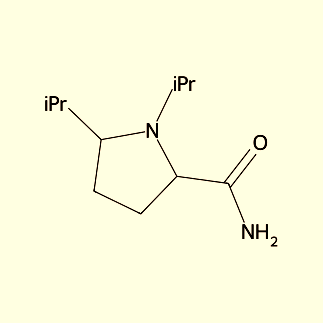 CC(C)C1CCC(C(N)=O)N1C(C)C